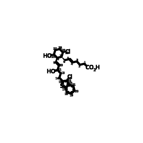 O=C(O)CCCC=CC[C@@H]1[C@@H](C=CC(O)CCc2sc3ccccc3c2Cl)[C@H](O)CC[C@H]1Cl